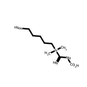 CCCCCCCCCCCCCC[N+](C)(C)C(=N)NC(=O)O